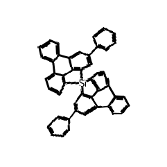 c1ccc(-c2cc3c4c(c2)c2ccccc2c2cccc(c24)[Si]32c3cccc4c5ccccc5c5cc(-c6ccccc6)cc2c5c34)cc1